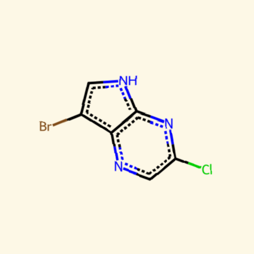 Clc1cnc2c(Br)c[nH]c2n1